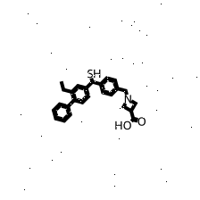 CCc1cc(C(S)c2ccc(CN3CC(C(=O)O)C3)cc2)ccc1-c1ccccc1